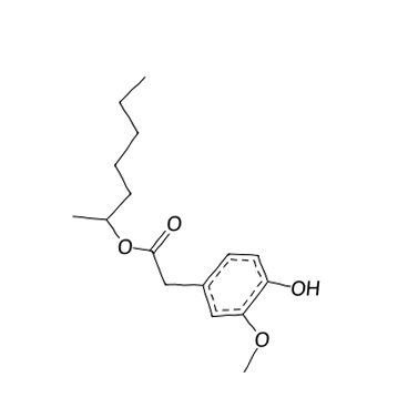 CCCCCC(C)OC(=O)Cc1ccc(O)c(OC)c1